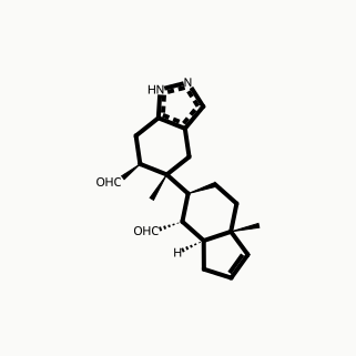 C[C@]1([C@H]2CC[C@]3(C)C=CC[C@H]3[C@@H]2C=O)Cc2cn[nH]c2C[C@@H]1C=O